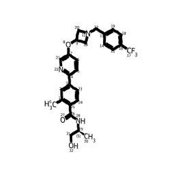 Cc1cc(-c2ccc(OC3CN(Cc4ccc(C(F)(F)F)cc4)C3)cn2)ccc1C(=O)N[C@@H](C)CO